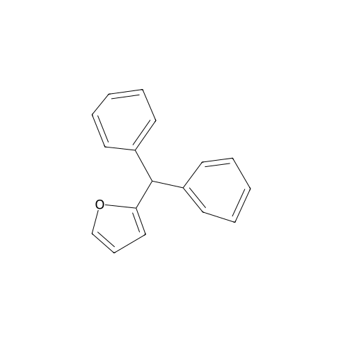 c1ccc(C(c2ccccc2)c2ccco2)cc1